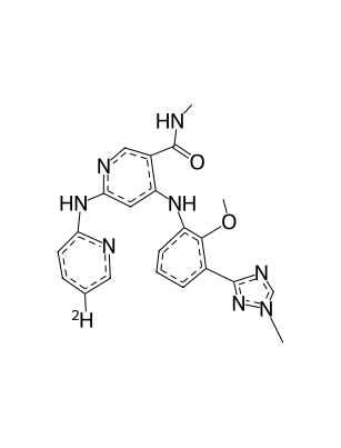 [2H]c1ccc(Nc2cc(Nc3cccc(-c4ncn(C)n4)c3OC)c(C(=O)NC)cn2)nc1